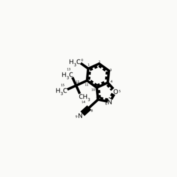 Cc1ccc2onc(C#N)c2c1C(C)(C)C